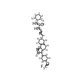 Cc1cccc(C)c1NC(=O)NS/N=C/c1ccc2c(ccc3c(-c4ccc(OC(F)(F)F)cc4)n(C)nc32)c1